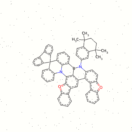 CC1(C)CCC(C)(C)c2cc(N3B4c5cccc6c5N(c5ccccc5C65c6ccccc6-c6ccccc65)c5c4c(cc4c5oc5ccccc54)-c4c3ccc3oc5ccccc5c43)ccc21